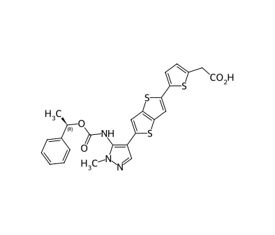 C[C@@H](OC(=O)Nc1c(-c2cc3sc(-c4ccc(CC(=O)O)s4)cc3s2)cnn1C)c1ccccc1